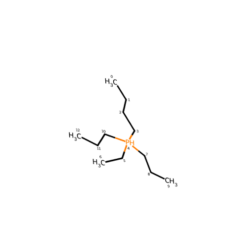 CCCC[PH](CC)(CCC)CCC